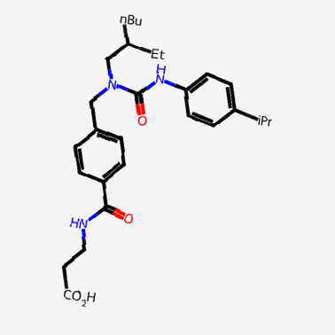 CCCCC(CC)CN(Cc1ccc(C(=O)NCCC(=O)O)cc1)C(=O)Nc1ccc(C(C)C)cc1